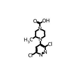 CC1CN(C(=O)O)CCN1c1cc(Cl)nnc1Cl